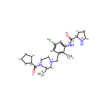 Cc1c(CN2CCN(C(=O)C3CCCC3)C(C)C2)cc(F)cc1NC(=O)C1CCCN1